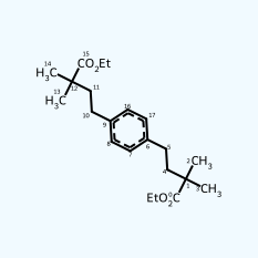 CCOC(=O)C(C)(C)CCc1ccc(CCC(C)(C)C(=O)OCC)cc1